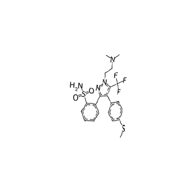 CSc1ccc(-c2c(-c3ccccc3S(N)(=O)=O)nn(CCN(C)C)c2C(F)(F)F)cc1